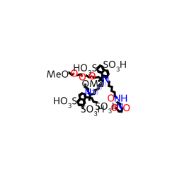 COCCOCCOCCOCCC1(C)\C(=C/C=C/C=C/C2=[N+](CCOC)c3ccc4c(S(=O)(=O)O)cc(S(=O)(=O)O)cc4c3C2(C)CCCS(=O)(=O)O)N(CCCCCC(=O)NCCN2C(=O)C=CC2=O)c2ccc3c(S(=O)(=O)O)cc(S(=O)(=O)O)cc3c21